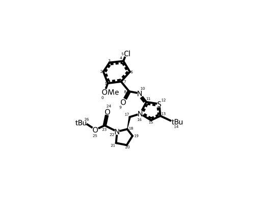 COc1ccc(Cl)cc1C(=O)N=c1sc(C(C)(C)C)cn1C[C@H]1CCCN1C(=O)OC(C)(C)C